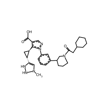 CN1C=C([C@@H]2C[C@H]2c2c(C(=O)O)cnn2-c2cccc(C3CCCN(C(=O)CC4CCCCC4)C3)c2)NN1